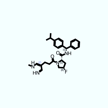 CN/C=C(\C=N)CCC(=O)N1C[C@H](F)C[C@H]1C(=O)N[C@@H](c1ccccc1)c1ccc(C(C)C)cc1